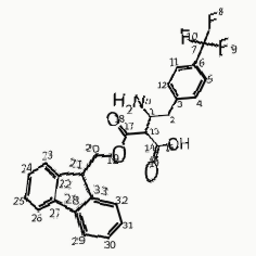 N[C@@H](Cc1ccc(C(F)(F)F)cc1)C(C(=O)O)C(=O)OCC1c2ccccc2-c2ccccc21